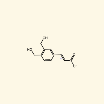 O=[N+]([O-])/C=C/c1ccc(CO)c(CO)c1